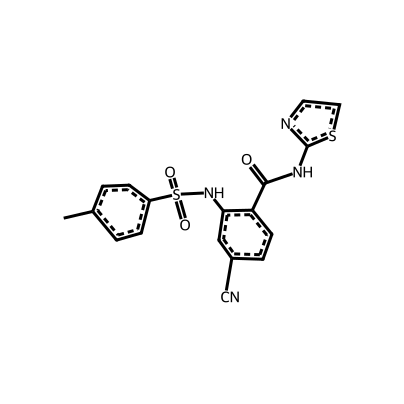 Cc1ccc(S(=O)(=O)Nc2cc(C#N)ccc2C(=O)Nc2nccs2)cc1